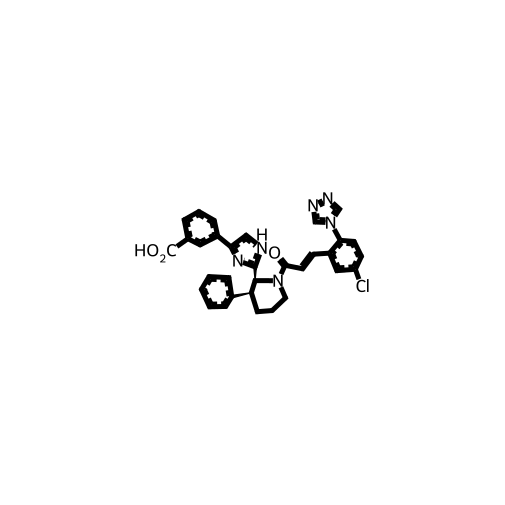 O=C(O)c1cccc(-c2c[nH]c([C@@H]3[C@H](c4ccccc4)CCCN3C(=O)/C=C/c3cc(Cl)ccc3-n3cnnc3)n2)c1